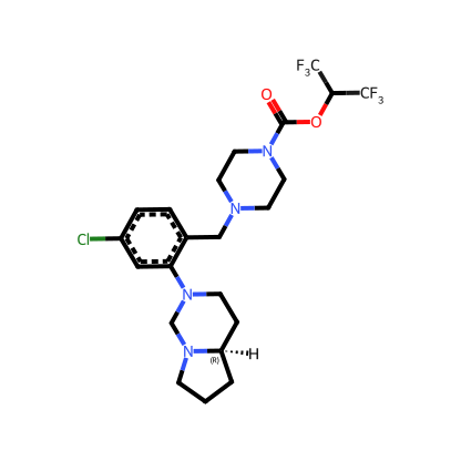 O=C(OC(C(F)(F)F)C(F)(F)F)N1CCN(Cc2ccc(Cl)cc2N2CC[C@H]3CCCN3C2)CC1